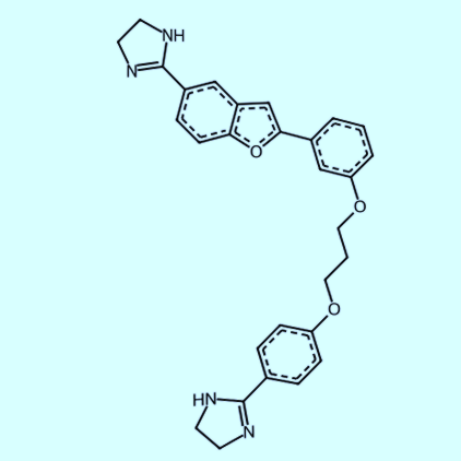 c1cc(OCCCOc2ccc(C3=NCCN3)cc2)cc(-c2cc3cc(C4=NCCN4)ccc3o2)c1